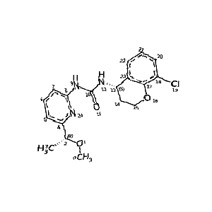 CO[C@H](C)c1cccc(NC(=O)N[C@H]2CCOc3c(Cl)cccc32)n1